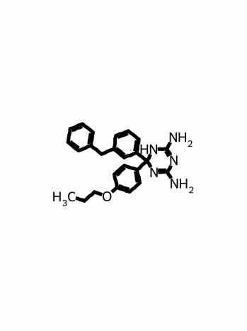 CCCOc1ccc(C2(c3cccc(Cc4ccccc4)c3)N=C(N)N=C(N)N2)cc1